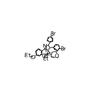 CCOc1ccc(C2=NC(c3ccc(Br)cc3)C(c3ccc(Br)cc3)N2C(=O)N2CCOCC2)c(OCC)c1